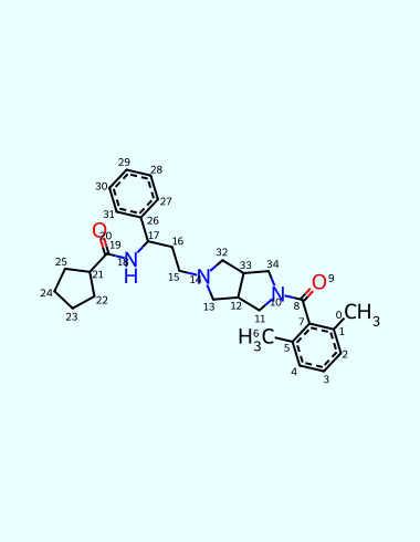 Cc1cccc(C)c1C(=O)N1CC2CN(CCC(NC(=O)C3CCCC3)c3ccccc3)CC2C1